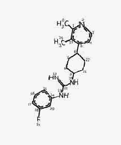 Cc1nccc(C2CCC(NC(=N)Nc3cccc(F)c3)CC2)c1C